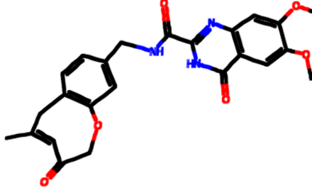 COc1cc2nc(C(=O)NCc3ccc4c(c3)OCC(=O)/C=C(\C)C4)[nH]c(=O)c2cc1OC